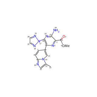 COC(=O)c1nc(-c2ccc3ncc(C)n3c2)c(-n2nccn2)nc1N